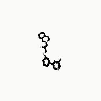 OC(COc1cccc(-c2cncc(F)c2)c1)CN1CCc2ccccc2C1